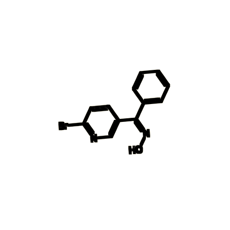 ON=C(c1ccccc1)c1ccc(Br)nc1